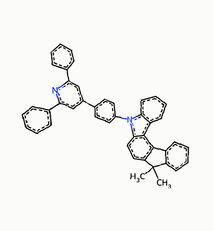 CC1(C)c2ccccc2-c2c1ccc1c2c2ccccc2n1-c1ccc(-c2cc(-c3ccccc3)nc(-c3ccccc3)c2)cc1